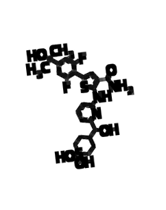 CC(C)(O)c1cc(F)c(-c2cc(C(N)=O)c(Nc3cccc(C(O)C4CCS(O)(O)CC4)n3)s2)c(F)c1